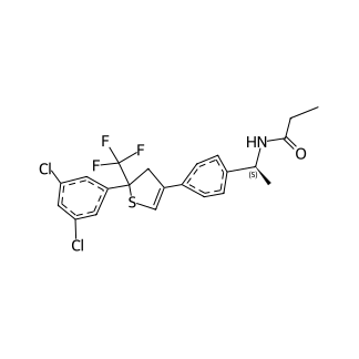 CCC(=O)N[C@@H](C)c1ccc(C2=CSC(c3cc(Cl)cc(Cl)c3)(C(F)(F)F)C2)cc1